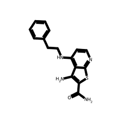 NC(=O)c1sc2nccc(NCCc3ccccc3)c2c1N